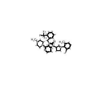 Cc1cccc(F)c1N1CCC(n2c(=O)n(Cc3ccccc3C(F)(F)F)c3c(N4CCN(C)CC4)nccc32)C1